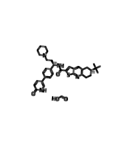 CC(C)(C)[C@H]1CCc2nc3sc(C(=O)N[C@H](CCN4CCCCC4)c4ccc(-c5ccc(=O)[nH]c5)cc4)cc3cc2C1.O=CO